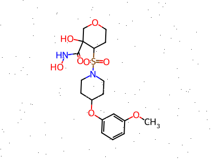 COc1cccc(OC2CCN(S(=O)(=O)C3CCOCC3(O)C(=O)NO)CC2)c1